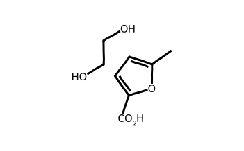 Cc1ccc(C(=O)O)o1.OCCO